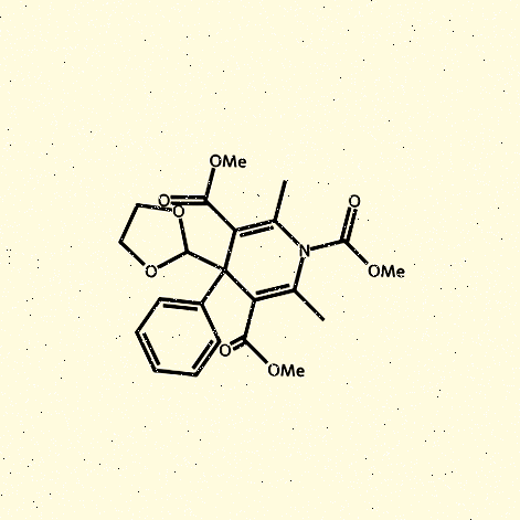 COC(=O)C1=C(C)N(C(=O)OC)C(C)=C(C(=O)OC)C1(c1ccccc1)C1OCCO1